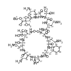 CCC(C)OC(=O)C(C)(C)CC(=O)N[C@@H](CCN)C(=O)N[C@H](C(=O)N[C@@H](CCN)C(=O)N[C@H]1CCNC(=O)[C@H](C(C)O)NC(O)[C@H](CCN)NC(=O)[C@H](CCN)NC(=O)[C@H](CC(C)C)NC(=O)[C@@H](Cc2ccccc2)NC(=O)[C@H](CCN)NC1=O)C(C)O